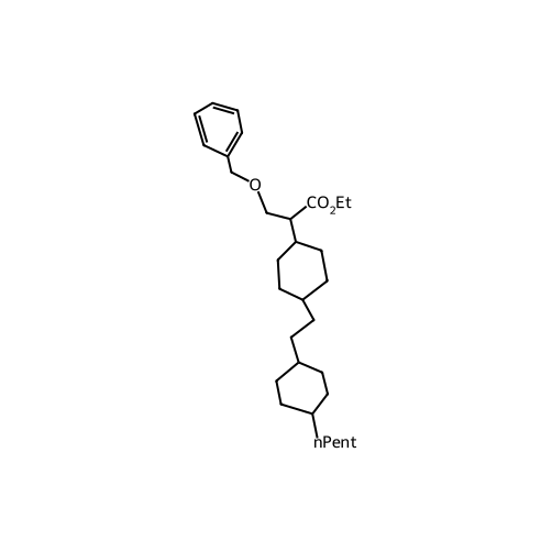 CCCCCC1CCC(CCC2CCC(C(COCc3ccccc3)C(=O)OCC)CC2)CC1